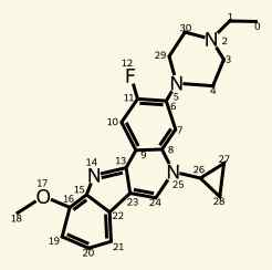 CCN1CCN(c2cc3c(cc2F)c2nc4c(OC)cccc4c-2cn3C2CC2)CC1